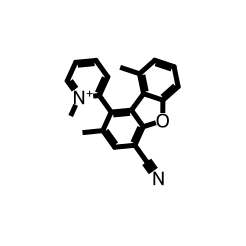 Cc1cc(C#N)c2oc3cccc(C)c3c2c1-c1cccc[n+]1C